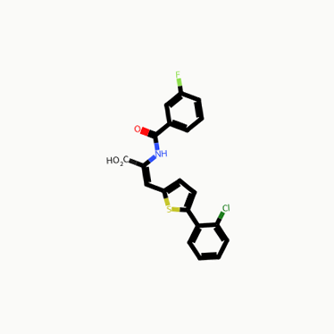 O=C(O)/C(=C/c1ccc(-c2ccccc2Cl)s1)NC(=O)c1cccc(F)c1